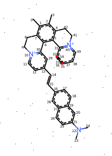 Cc1c(C)c2c(c3c1CC[n+]1ccc(/C=C/c4ccc5cc(N(C)C)ccc5c4)cc1-3)-c1c3ccccc3cc[n+]1CC2